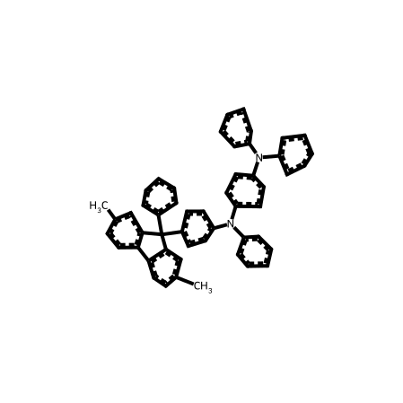 Cc1ccc2c(c1)C(c1ccccc1)(c1ccc(N(c3ccccc3)c3ccc(N(c4ccccc4)c4ccccc4)cc3)cc1)c1cc(C)ccc1-2